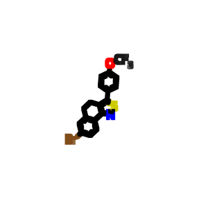 FC(F)(F)Oc1ccc(-c2snc3c2CCc2cc(Br)ccc2-3)cc1